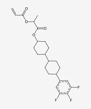 C=CC(=O)OC(C)C(=O)OC1CCC(C2CCC(c3cc(F)c(F)c(F)c3)CC2)CC1